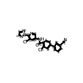 N#Cc1cccc(-c2ccc(C(=O)Nc3cnc(-n4nccn4)c(Cl)c3)c(Cl)c2)c1